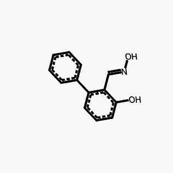 ON=Cc1c(O)cccc1-c1ccccc1